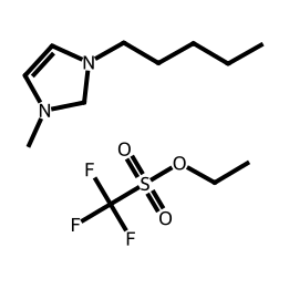 CCCCCN1C=CN(C)C1.CCOS(=O)(=O)C(F)(F)F